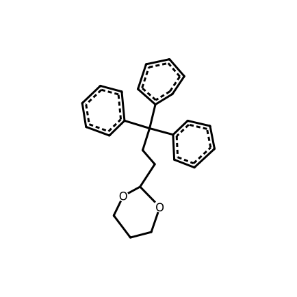 c1ccc(C(CCC2OCCCO2)(c2ccccc2)c2ccccc2)cc1